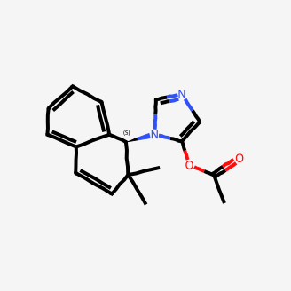 CC(=O)Oc1cncn1[C@@H]1c2ccccc2C=CC1(C)C